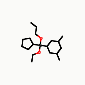 CCCO[Si](OCC)(C1CCCC1)C1CC(C)CC(C)C1